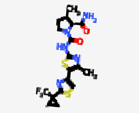 Cc1nc(NC(=O)N2CC[C@@H](C)[C@H]2C(N)=O)sc1-c1csc(C2(C(F)(F)F)CC2)n1